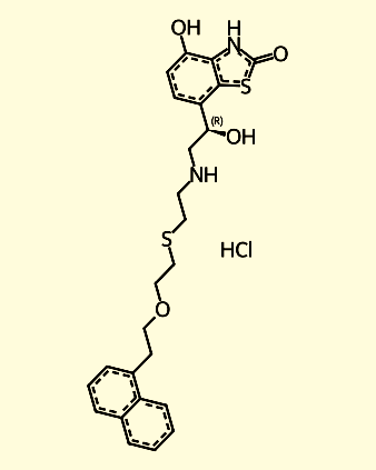 Cl.O=c1[nH]c2c(O)ccc([C@@H](O)CNCCSCCOCCc3cccc4ccccc34)c2s1